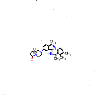 Cc1cccc([C@@H](C)Nc2nnc(C)c3ccc(N4CCN5C(=O)CC[C@H]5C4)cc23)c1C